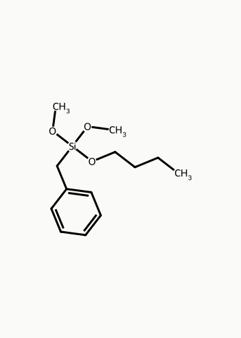 CCCCO[Si](Cc1ccccc1)(OC)OC